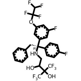 OC(CN[C@](Cc1ccccc1)(c1ccc(F)cc1)c1cc(F)cc(OC(F)(F)C(F)F)c1)C(O)(C(F)(F)F)C(F)(F)F